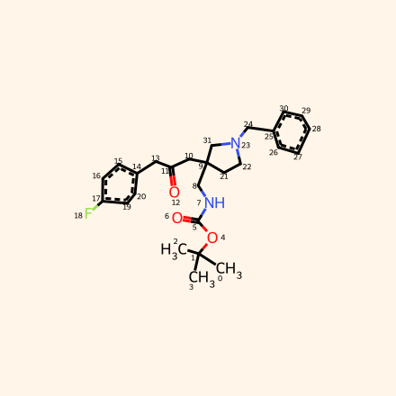 CC(C)(C)OC(=O)NCC1(CC(=O)Cc2ccc(F)cc2)CCN(Cc2ccccc2)C1